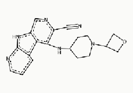 N#Cc1ncc2[nH]c3ncccc3c2c1NC1CCN(C2COC2)CC1